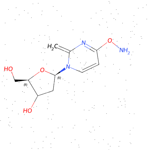 C=C1N=C(ON)C=CN1[C@H]1CC(O)[C@@H](CO)O1